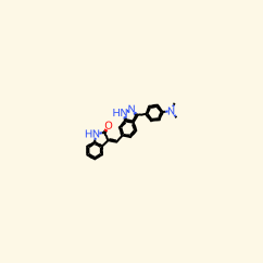 CN(C)c1ccc(-c2n[nH]c3cc(C=C4C(=O)Nc5ccccc54)ccc23)cc1